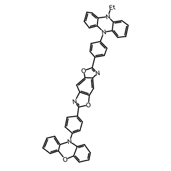 CCN1c2ccccc2N(c2ccc(-c3nc4cc5oc(-c6ccc(N7c8ccccc8Oc8ccccc87)cc6)nc5cc4o3)cc2)c2ccccc21